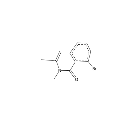 C=C(C)N(C)C(=O)c1ccccc1Br